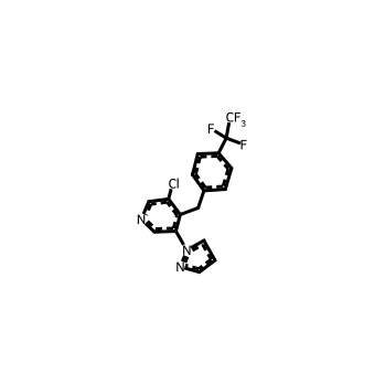 FC(F)(F)C(F)(F)c1ccc(Cc2c(Cl)cncc2-n2cccn2)cc1